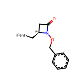 CCCC(C)C[C@H]1CC(=O)N1OCc1ccccc1